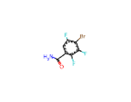 NC(=O)c1cc(F)c(Br)c(F)c1F